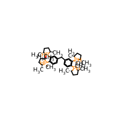 C[C@@H]1CC[C@@H](C)[PH]1(C)c1ccc(Cc2ccc([PH]3(C)[C@@H](C)CC[C@@H]3C)c([PH]3(C)[C@@H](C)CC[C@@H]3C)c2)cc1[PH]1(C)[C@H](C)CC[C@H]1C